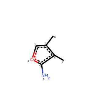 Cc1coc(N)c1C